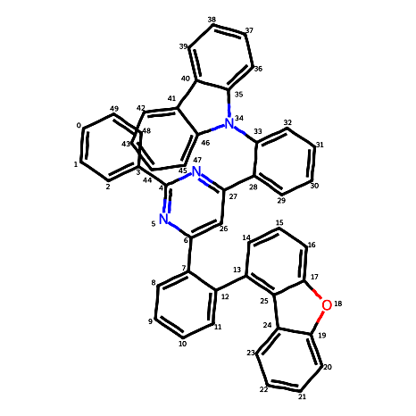 c1ccc(-c2nc(-c3ccccc3-c3cccc4oc5ccccc5c34)cc(-c3ccccc3-n3c4ccccc4c4ccccc43)n2)cc1